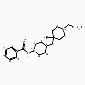 O=C(O)CN1CCC(F)(CC2CCN(OC(=O)c3ccccc3)CC2)CC1